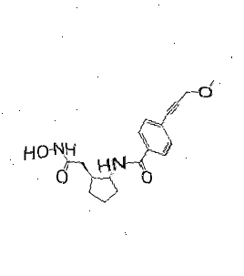 COCC#Cc1ccc(C(=O)N[C@@H]2CCC[C@H]2CC(=O)NO)cc1